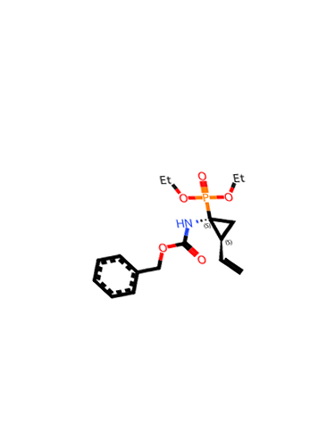 C=C[C@@H]1C[C@]1(NC(=O)OCc1ccccc1)P(=O)(OCC)OCC